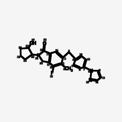 Cc1c(Cc2ccc(-n3cccn3)cc2)cc2c(c1F)CN(C1CCCC1O)C2=O